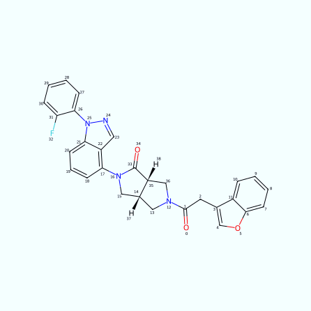 O=C(Cc1coc2ccccc12)N1C[C@@H]2CN(c3cccc4c3cnn4-c3ccccc3F)C(=O)[C@@H]2C1